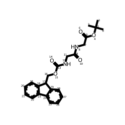 CC(C)(C)OC(=O)CNC(=O)CNC(=O)OCC1c2ccccc2-c2ccccc21